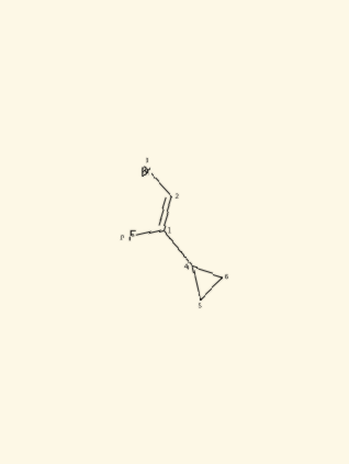 FC(=CBr)C1CC1